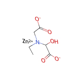 CCN(CC(=O)[O-])C(O)C(=O)[O-].[Zn+2]